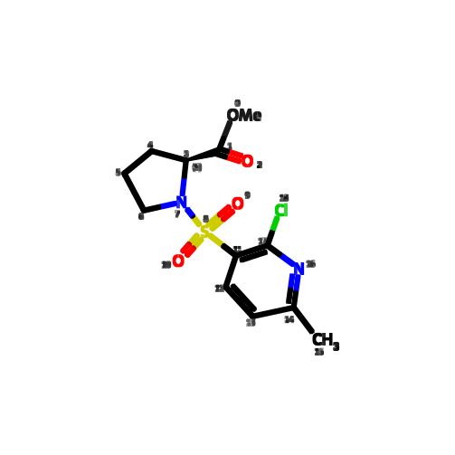 COC(=O)[C@@H]1CCCN1S(=O)(=O)c1ccc(C)nc1Cl